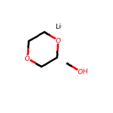 C1COCCO1.CO.[Li]